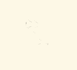 CC(C)C(N)C(=O)N[C@@H]1C[C@H](C)CN(c2ccnc3nccnc23)C1